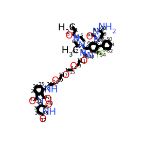 C=CC(=O)N1CCN(c2nc(OCCOCCOCCOCCNc3cccc4c3C(=O)N(C3CCC(=O)NC3=O)C4=O)nc3c(F)c(-c4ccccc4F)c(-n4ccc(N)nc4=O)cc23)C(C)C1